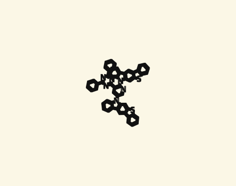 c1ccc(-c2nc(-c3ccccc3)nc(-c3cc(-n4c5ccccc5c5cc6c(cc54)sc4ccccc46)cnc3-n3c4ccccc4c4cc5c(cc43)sc3ccccc35)n2)cc1